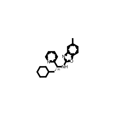 Cc1ccc2oc(N[C@H](CC3CCCCC3)c3ccccn3)nc2c1